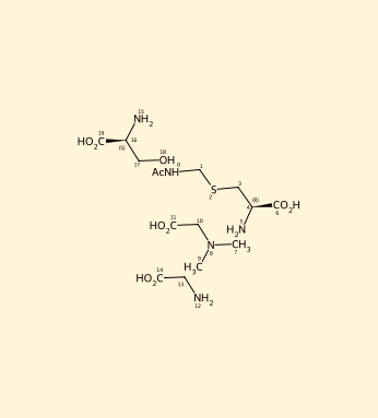 CC(=O)NCSC[C@H](N)C(=O)O.CN(C)CC(=O)O.NCC(=O)O.N[C@@H](CO)C(=O)O